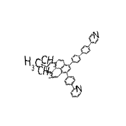 CC(C)(C)C1=CC2C=Cc3c(-c4ccc(-c5ccc(-c6ccncc6)cc5)cc4)cc(-c4ccc(-c5ccccn5)cc4)c4c3C2C(=C1)C=C4